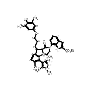 CCOC(=O)c1cc2cccc(N3C[C@@H](C)N4c5c(ccc(Cl)c5-c5c(C)nn(C)c5C)C(CCCOc5cc(C)c(Cl)c(C)c5)C4C3=O)c2[nH]1